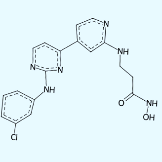 O=C(CCNc1cc(-c2ccnc(Nc3cccc(Cl)c3)n2)ccn1)NO